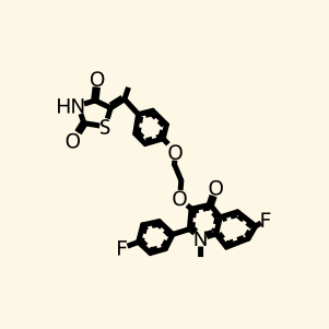 CC(=C1SC(=O)NC1=O)c1ccc(OCCOc2c(-c3ccc(F)cc3)n(C)c3ccc(F)cc3c2=O)cc1